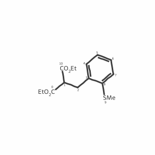 CCOC(=O)C(Cc1ccccc1SC)C(=O)OCC